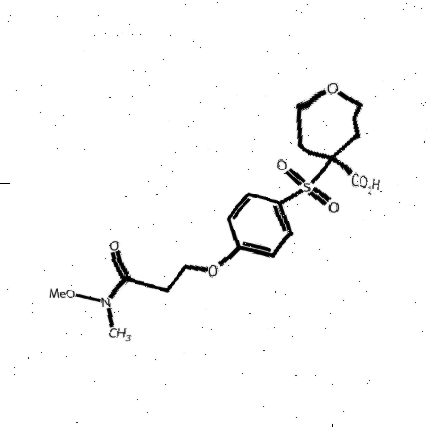 CON(C)C(=O)CCOc1ccc(S(=O)(=O)C2(C(=O)O)CCOCC2)cc1